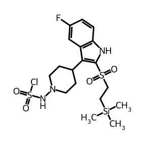 C[Si](C)(C)CCS(=O)(=O)c1[nH]c2ccc(F)cc2c1C1CCN(NS(=O)(=O)Cl)CC1